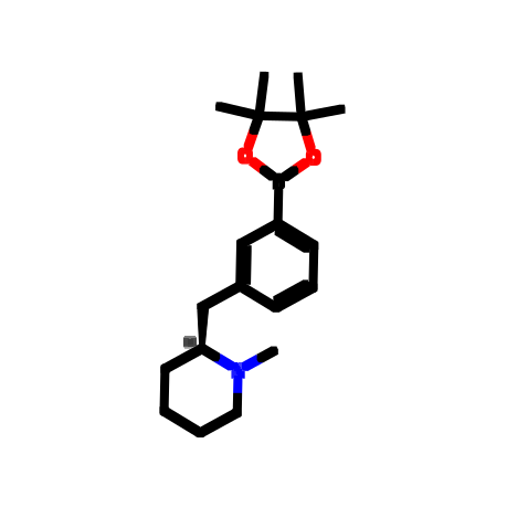 CN1CCCC[C@H]1Cc1cccc(B2OC(C)(C)C(C)(C)O2)c1